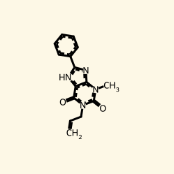 C=CCn1c(=O)c2[nH]c(-c3ccccc3)nc2n(C)c1=O